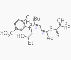 C=C(CCC)C(=S)S/C(=C\C=C(\C(C)CC)N(CC(O)CC)c1cc(C(=O)OCC)ccc1C)C(C)=O